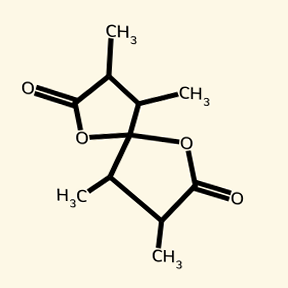 CC1C(=O)OC2(OC(=O)C(C)C2C)C1C